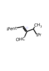 CCCC(C)/C=C(\C=O)C(C)C(C)C